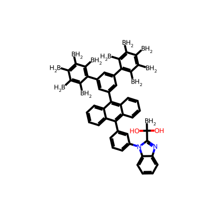 Bc1c(B)c(B)c(-c2cc(-c3c(B)c(B)c(B)c(B)c3B)cc(-c3c4ccccc4c(-c4cccc(-n5c(C(B)(O)O)nc6ccccc65)c4)c4ccccc34)c2)c(B)c1B